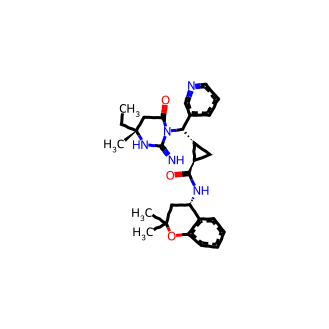 CC[C@]1(C)CC(=O)N(C(c2cccnc2)[C@@H]2C[C@H]2C(=O)N[C@H]2CC(C)(C)Oc3ccccc32)C(=N)N1